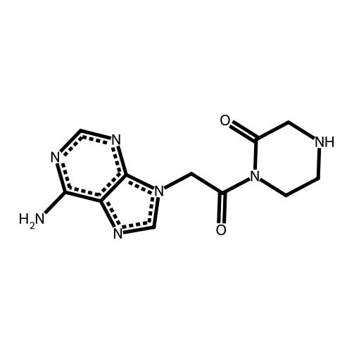 Nc1ncnc2c1ncn2CC(=O)N1CCNCC1=O